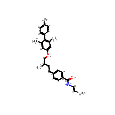 Cc1cc(OCC(C)CCc2ccc(C(=O)NCCC(=O)O)cc2)cc(C)c1-c1ccc(C(C)C)cc1